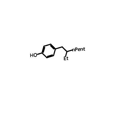 CCCCCC(CC)Cc1ccc(O)cc1